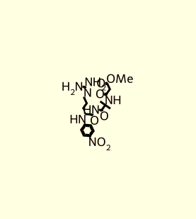 COC(=O)CC(=O)NC(C)(C)C(=O)NC(=O)[C@H](CCCN=C(N)N)Nc1ccc([N+](=O)[O-])cc1